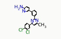 Cc1cc(-c2ccc(Cl)c(Cl)c2)nc(-c2cccc(-c3ccc(N)nc3)c2)n1